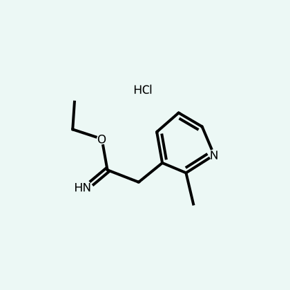 CCOC(=N)Cc1cccnc1C.Cl